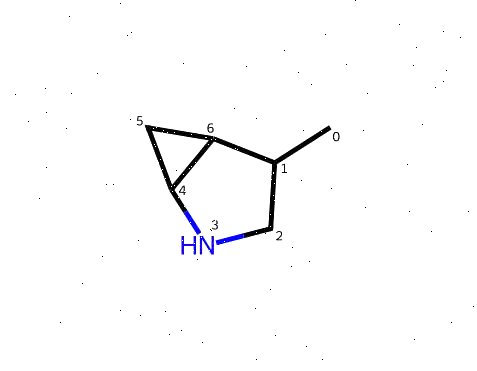 CC1CNC2CC12